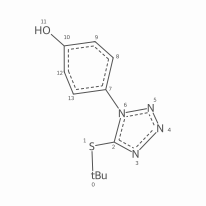 CC(C)(C)Sc1nnnn1-c1ccc(O)cc1